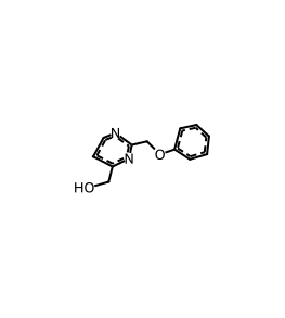 OCc1ccnc(COc2ccccc2)n1